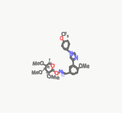 COc1ccc(/C=N/O[C@@H]2O[C@@H](C)[C@H](OC)[C@@H](OC)[C@H]2OC)cc1-c1cn(-c2ccc(OC(F)(F)F)cc2)cn1